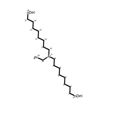 CCCCCCCCCCCCCCCCC[CH2][Al]([CH2]CCCCCCCCCCCCCCCCC)[CH2]C(C)C